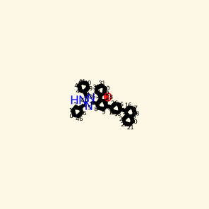 c1ccc(C2=NC(c3ccc(-c4ccc(-c5cccc6ccccc56)cc4)c4oc5ccccc5c34)=NC(c3ccccc3)N2)cc1